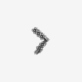 [N-3].[N-3].[N-3].[N-3].[N-3].[O-][Cl+3]([O-])([O-])[O-].[O-][Cl+3]([O-])([O-])[O-].[O-][Cl+3]([O-])([O-])[O-].[O-][Cl+3]([O-])([O-])[O-].[O-][Cl+3]([O-])([O-])[O-].[Ta+5].[Ta+5].[Ta+5].[Ta+5]